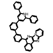 C1=C(c2cccc(-c3cccc(-c4nc5c(nc6ccccn65)c5ccccc45)c3)c2)C=C(c2ccccc2)NC1c1ccccc1